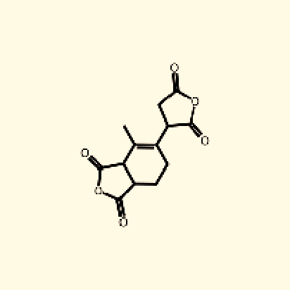 CC1=C(C2CC(=O)OC2=O)CCC2C(=O)OC(=O)C12